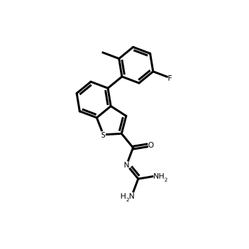 Cc1ccc(F)cc1-c1cccc2sc(C(=O)N=C(N)N)cc12